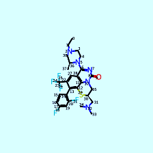 CCN1CCN(c2nc(=O)n3c4c(c(-c5ccc(F)cc5F)c(C(F)(F)F)cc24)S[C@H](CN(C)C)C3)[C@@H](C)C1